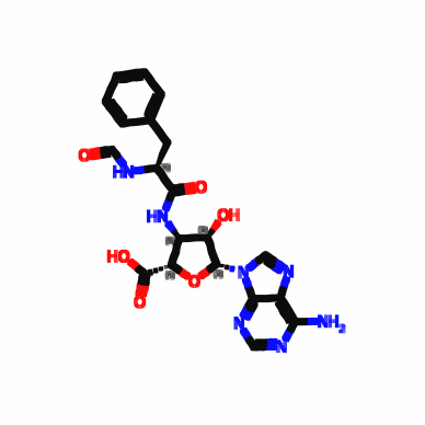 Nc1ncnc2c1ncn2[C@@H]1O[C@H](C(=O)O)[C@@H](NC(=O)[C@H](Cc2ccccc2)NC=O)[C@H]1O